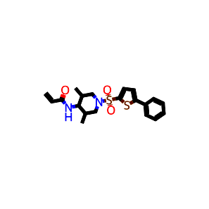 C=CC(=O)NC1C(C)CN(S(=O)(=O)c2ccc(-c3ccccc3)s2)CC1C